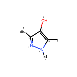 CCCCc1nn(CC)c(C)c1O